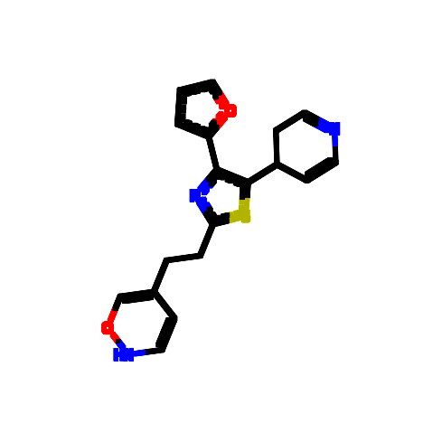 C1=CC(c2sc(CCC3=CONC=C3)nc2-c2ccco2)CC=N1